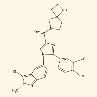 Cn1nc2ccc(-n3cc(C(=O)N4CCC5(CCN5)C4)nc3-c3ccc(C#N)c(F)c3)cc2c1Cl